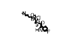 CC[C@H](OC(=O)CCCN(C)C)c1csc(C(=O)c2c[nH]c3cc(F)ccc23)n1.Cl